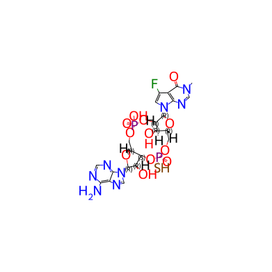 Cn1cnc2c(c(F)cn2[C@@H]2O[C@@H]3COP(=O)(S)O[C@H]4[C@@H](O)[C@H](n5cnc6c(N)ncnc65)O[C@@H]4COP(=O)(O)O[C@@H]2[C@@H]3O)c1=O